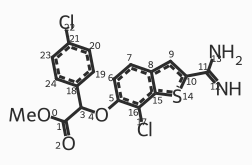 COC(=O)C(Oc1ccc2cc(C(=N)N)sc2c1Cl)c1ccc(Cl)cc1